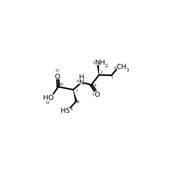 CC[C@H](N)C(=O)N[C@@H](CS)C(=O)O